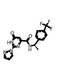 C[C@@H](NC(=O)c1cc(=O)[nH]c(-n2cccn2)n1)c1ccc(C(F)(F)F)cc1